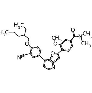 CCCC(CC)COc1ccc(-c2ccnc3cc(-c4ccc(C(=O)N(C)C)cc4OC)oc23)cc1C#N